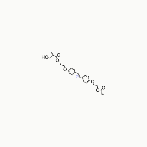 C=CC(=O)OCCOc1ccc(/C=C/c2ccc(OCCCOC(=O)C(=C)CO)cc2)cc1